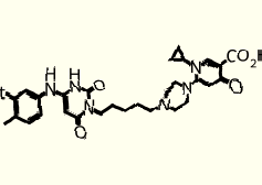 CCc1cc(Nc2cc(=O)n(CCCCCN3CCN(c4cc(=O)c(C(=O)O)cn4C4CC4)CC3)c(=O)[nH]2)ccc1C